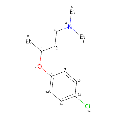 CCC([CH]CN(CC)CC)Oc1ccc(Cl)cc1